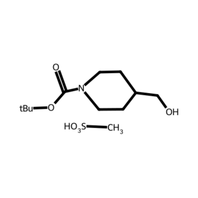 CC(C)(C)OC(=O)N1CCC(CO)CC1.CS(=O)(=O)O